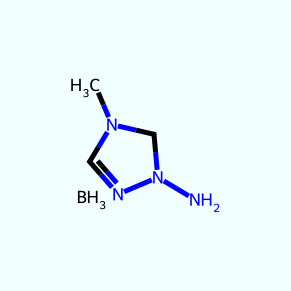 B.CN1C=NN(N)C1